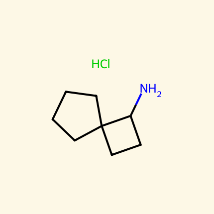 Cl.NC1CCC12CCCC2